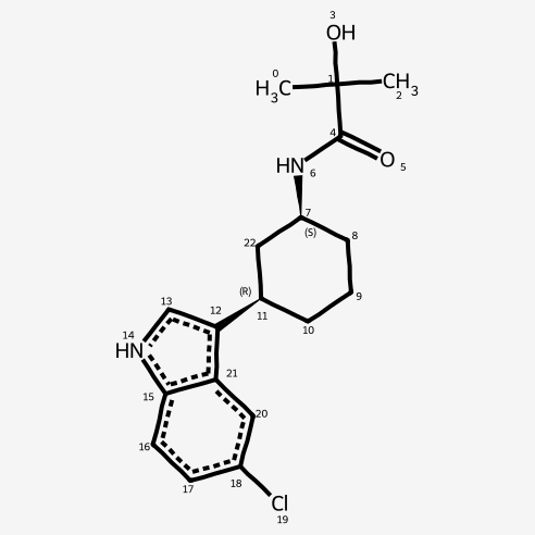 CC(C)(O)C(=O)N[C@H]1CCC[C@@H](c2c[nH]c3ccc(Cl)cc23)C1